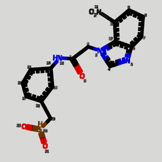 O=C(Cn1cnc2cccc([N+](=O)[O-])c21)Nc1cccc(C[SH](=O)=O)c1